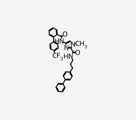 Cn1cc(NC(=O)c2ccccc2-c2ccc(C(F)(F)F)cc2)nc1C(=O)NCCCc1ccc(-c2ccccc2)cc1